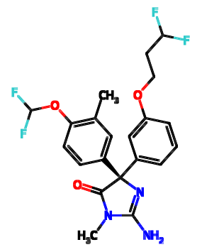 Cc1cc([C@@]2(c3cccc(OCCC(F)F)c3)N=C(N)N(C)C2=O)ccc1OC(F)F